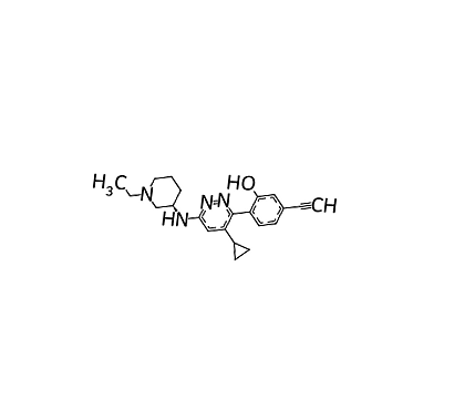 C#Cc1ccc(-c2nnc(N[C@@H]3CCCN(CC)C3)cc2C2CC2)c(O)c1